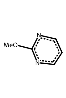 [CH]Oc1ncccn1